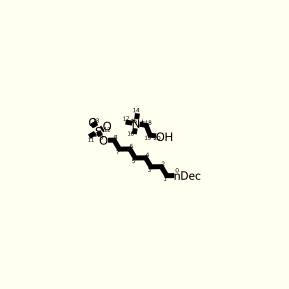 CCCCCCCCCCCCCCCCCCOS(C)(=O)=O.C[N+](C)(C)CCO